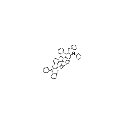 Fc1ccccc1N(c1ccccc1)c1ccc2c3c(ccc2c1)-c1c(c2ccc(N(c4ccccc4)c4ccccc4F)cc2c2ccccc12)C31c2ccccc2-c2ccccc21